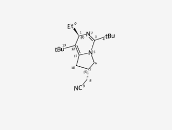 CC[C@H]1N=C(C(C)(C)C)N2C[C@H](CC#N)CC2=C1C(C)(C)C